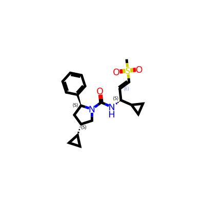 CS(=O)(=O)/C=C/[C@@H](NC(=O)N1C[C@H](C2CC2)C[C@H]1c1ccccc1)C1CC1